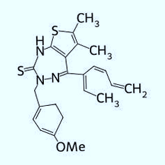 C=C/C=C\C(=C/C)C1=NN(CC2=CC=C(OC)CC2)C(=S)Nc2sc(C)c(C)c21